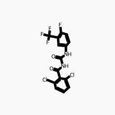 O=C(NC(=O)c1c(Cl)cccc1Cl)Nc1ccc(F)c(C(F)(F)F)c1